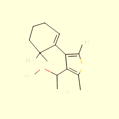 CCCCOC(C(=O)O)c1c(C)sc(C)c1C1=CCCCC1(C)C